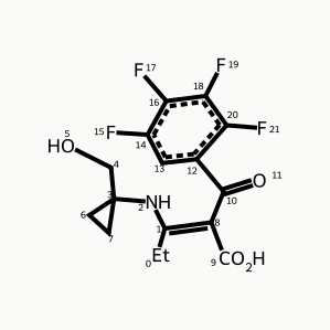 CCC(NC1(CO)CC1)=C(C(=O)O)C(=O)c1cc(F)c(F)c(F)c1F